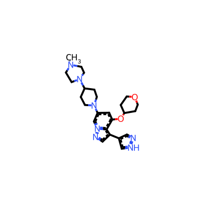 CN1CCN(C2CCN(c3cc(OC4CCOCC4)c4c(-c5cn[nH]c5)cnn4c3)CC2)CC1